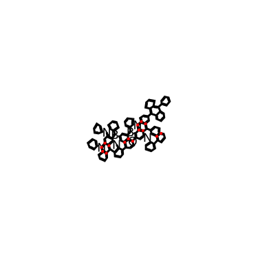 c1ccc(-c2ccccc2N(c2cc3c4c(c2)N(c2ccc(-c5c6ccccc6c(-c6ccccc6)c6ccccc56)cc2)c2ccccc2B4c2cc4c(cc2O3)N(c2c(-c3ccccc3)cccc2-c2ccccc2)c2cc(N(c3ccccc3)c3ccccc3)cc3c2B4c2ccccc2N3c2ccccc2)c2ccccc2-c2ccccc2)cc1